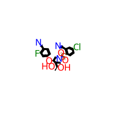 C[C@H](O)[C@]1(O)CN(S(=O)(=O)c2ccc(Cl)cc2C#N)C[C@@H]1Oc1ccc(C#N)c(F)c1